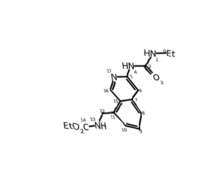 CCNC(=O)Nc1cc2cccc(CNC(=O)OCC)c2cn1